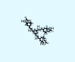 CC(O)CN1C(C)(C)CC(CCNc2nc(NCCC3CC(C)(C)N(CC(C)O)C(C)(C)C3)nc(NCCC3CC(C)(C)N(CC(C)O)C(C)(C)C3)n2)CC1(C)C